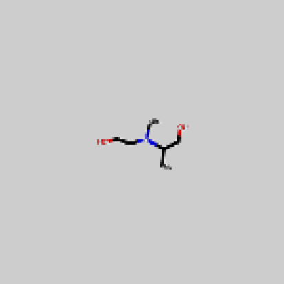 CCCCC(CO)N(CCO)CCCC